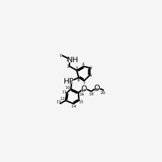 CNCc1ccccc1Pc1cc(C)ccc1OCOC